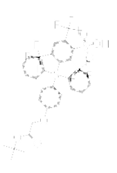 CC(C)(C)OC(=O)COc1ccc(S(c2ccccc2)(c2ccccc2)c2c(C(F)(F)F)cc(C(F)(F)F)c(S(=O)(=O)O)c2C(F)(F)F)cc1